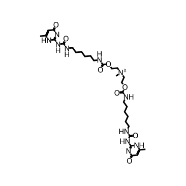 Cc1cc(=O)nc(NC(=O)NCCCCCCNC(=O)OCC[N+](C)(C)CCOC(=O)NCCCCCCNC(=O)Nc2nc(=O)cc(C)[nH]2)[nH]1